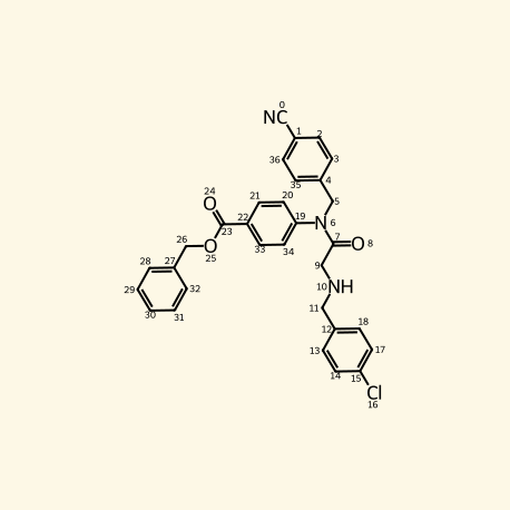 N#Cc1ccc(CN(C(=O)CNCc2ccc(Cl)cc2)c2ccc(C(=O)OCc3ccccc3)cc2)cc1